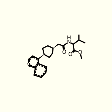 COC(=O)C(NC(=O)C[C@H]1CC[C@@H](c2ccnc3ccccc32)CC1)C(C)C